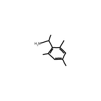 Cc1cc(C)c(C(C)N)c(C)c1